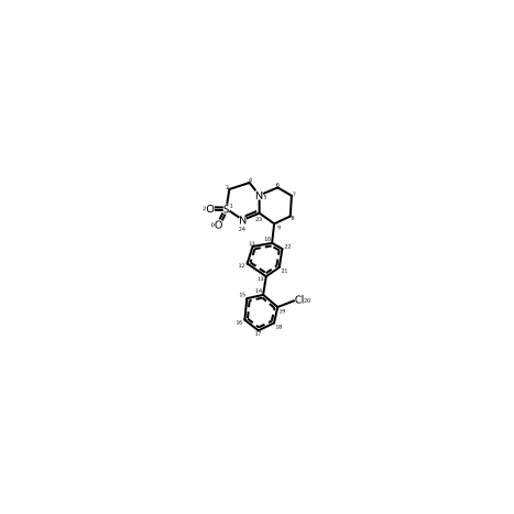 O=S1(=O)CCN2CCCC(c3ccc(-c4ccccc4Cl)cc3)C2=N1